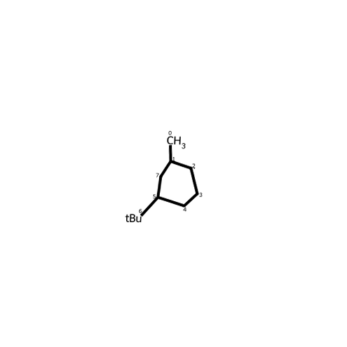 CC1[CH]CCC(C(C)(C)C)C1